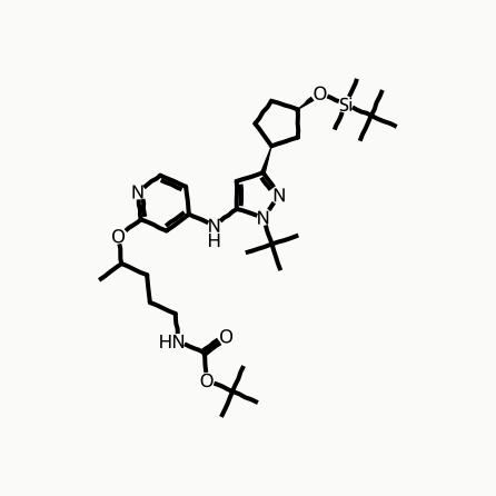 CC(CCCNC(=O)OC(C)(C)C)Oc1cc(Nc2cc([C@H]3CC[C@@H](O[Si](C)(C)C(C)(C)C)C3)nn2C(C)(C)C)ccn1